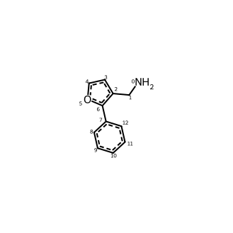 NCc1ccoc1-c1ccccc1